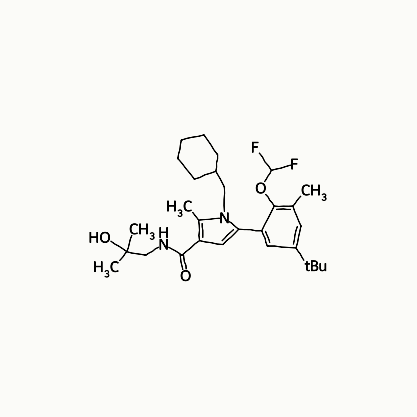 Cc1cc(C(C)(C)C)cc(-c2cc(C(=O)NCC(C)(C)O)c(C)n2CC2CCCCC2)c1OC(F)F